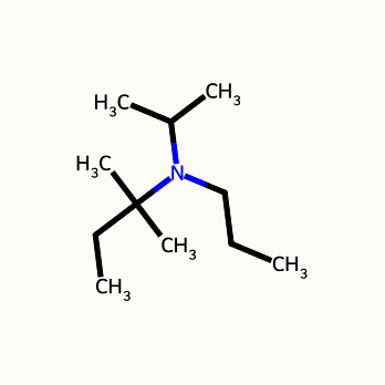 CCCN(C(C)C)C(C)(C)CC